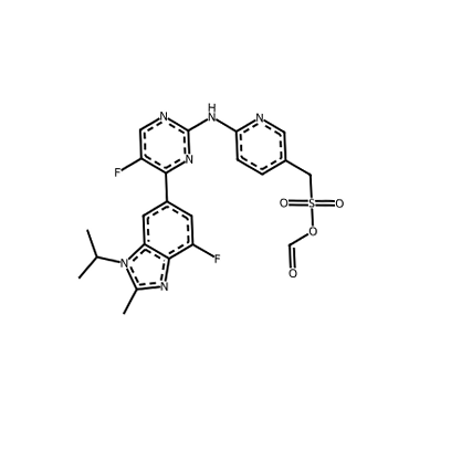 Cc1nc2c(F)cc(-c3nc(Nc4ccc(CS(=O)(=O)OC=O)cn4)ncc3F)cc2n1C(C)C